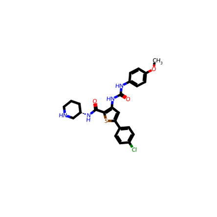 COc1ccc(NC(=O)Nc2cc(-c3ccc(Cl)cc3)sc2C(=O)N[C@H]2CCCNC2)cc1